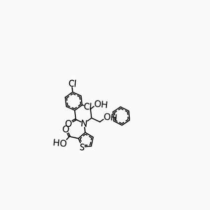 O=C(O)c1sccc1N(C(=O)c1ccc(Cl)cc1Cl)C(CO)CO.c1ccccc1